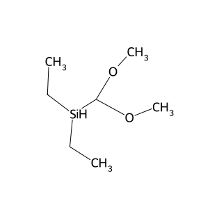 CC[SiH](CC)C(OC)OC